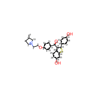 CC1CCN(CCOc2ccc(C(=O)c3c(-c4ccc(O)cc4)sc4cc(O)ccc34)cc2)C1